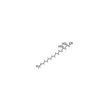 C=CCCCCCCCCCCC[C@H](O)C[C@H](O)CC#N